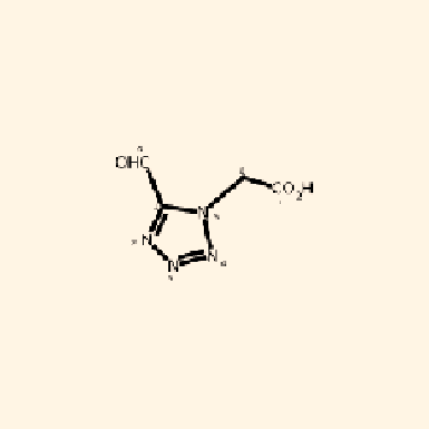 O=Cc1nnnn1CC(=O)O